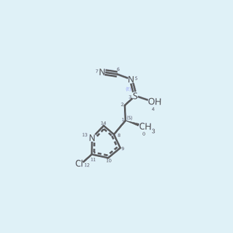 C[C@H](C/S(O)=N\C#N)c1ccc(Cl)nc1